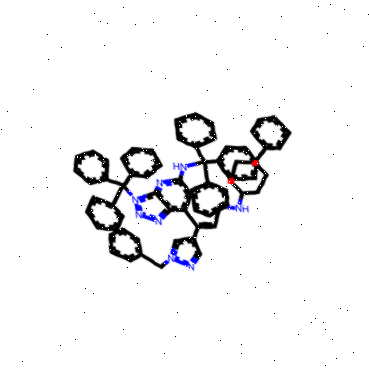 C(/CNC1CCC(c2ccccc2)CC1)=C(\c1cnn(Cc2ccccc2)c1)c1cc(NC(c2ccccc2)(c2ccccc2)c2ccccc2)nc2c1nnn2C(c1ccccc1)(c1ccccc1)c1ccccc1